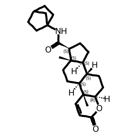 C[C@]12C=CC(=O)O[C@@H]1CC[C@@H]1[C@@H]2CC[C@]2(C)[C@@H](C(=O)NC34CCC(CC3)C4)CC[C@@H]12